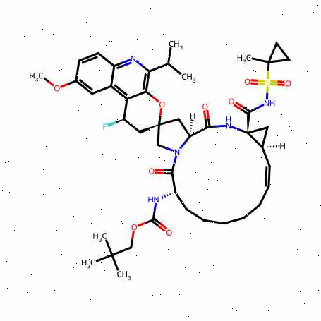 COc1ccc2nc(C(C)C)c3c(c2c1)[C@H](F)C[C@]1(C[C@H]2C(=O)N[C@]4(C(=O)NS(=O)(=O)C5(C)CC5)C[C@H]4/C=C\CCCCC[C@H](NC(=O)OCC(C)(C)C)C(=O)N2C1)O3